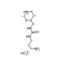 N[C@@H](CCNC(=O)NCC1CCNCC1)C(=O)O